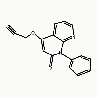 C#CCOc1cc(=O)n(-c2ccccc2)c2ncccc12